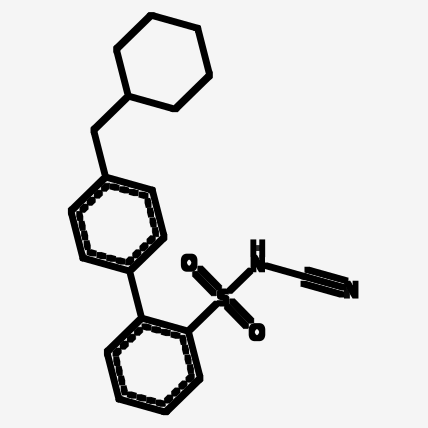 N#CNS(=O)(=O)c1ccccc1-c1ccc(CC2CCCCC2)cc1